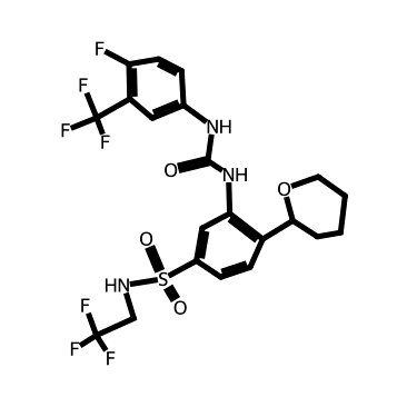 O=C(Nc1ccc(F)c(C(F)(F)F)c1)Nc1cc(S(=O)(=O)NCC(F)(F)F)ccc1C1CCCCO1